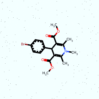 COC(=O)C1=C(C)N(C)C(C)=C(C(=O)OC)C1c1ccc(Br)cc1